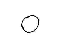 [CH]1C/C=C\CC/C=C\C/C=C\CC1